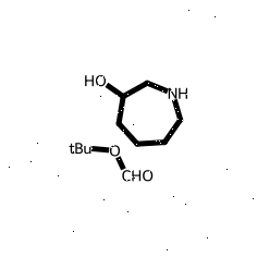 CC(C)(C)OC=O.OC1CCCCNC1